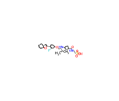 CC(C)[C@@H](COc1ccc(-c2cc3ccccc3o2)c(F)c1)Nc1ccc(C(=O)NCCS(=O)(=O)O)cc1